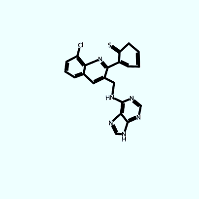 S=C1CC=CC=C1c1nc2c(Cl)cccc2cc1CNc1ncnc2[nH]cnc12